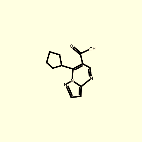 O=C(O)c1cnc2ccnn2c1C1CCCC1